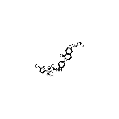 O=C(Nc1ccc(-n2ccc3cc(NCC(F)(F)F)ccc3c2=O)cc1)NS(=O)(=O)c1ccc(Cl)s1